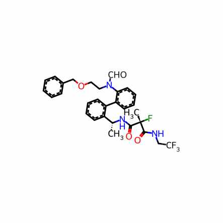 C[C@@H](NC(=O)[C@](C)(F)C(=O)NCC(F)(F)F)c1ccccc1-c1ccccc1N(C=O)CCOCc1ccccc1